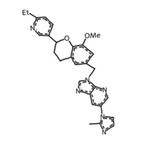 CCc1ccc(C2CCc3cc(Cn4cnc5cc(-n6ccnc6C)cnc54)cc(OC)c3O2)cn1